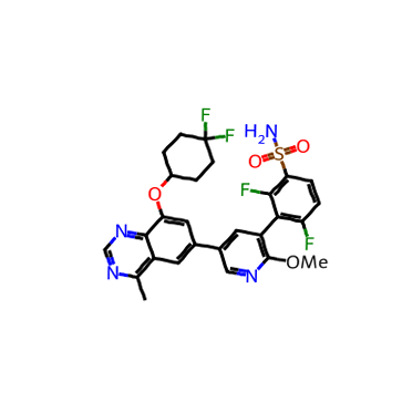 COc1ncc(-c2cc(OC3CCC(F)(F)CC3)c3ncnc(C)c3c2)cc1-c1c(F)ccc(S(N)(=O)=O)c1F